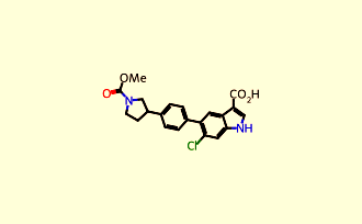 COC(=O)N1CCC(c2ccc(-c3cc4c(C(=O)O)c[nH]c4cc3Cl)cc2)C1